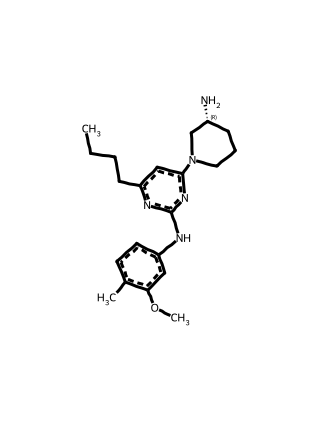 CCCCc1cc(N2CCC[C@@H](N)C2)nc(Nc2ccc(C)c(OC)c2)n1